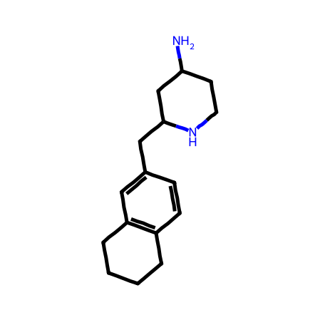 NC1CCNC(Cc2ccc3c(c2)CCCC3)C1